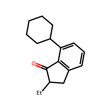 CCC1Cc2cccc(C3CCCCC3)c2C1=O